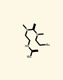 C=C(N(C)CCNC(=C)C(C)(C)C)N(C)CCC(C)(C)C